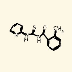 Cc1ccccc1C(=O)NC(=S)Nc1ccccn1